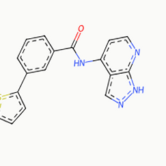 O=C(Nc1ccnc2[nH]ncc12)c1cccc(-c2cccs2)c1